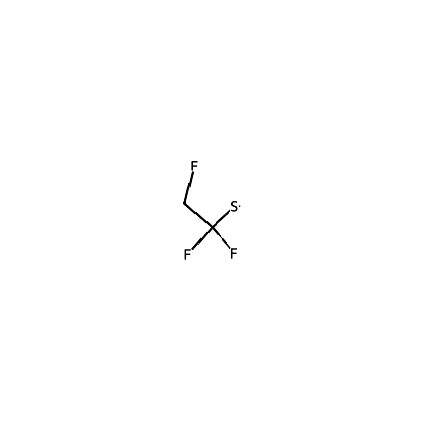 FCC(F)(F)[S]